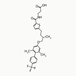 Cc1cc(OCC(C)CCc2ccc(C(=O)NCCC(=O)O)s2)cc(C)c1-c1ccc(C(F)(F)F)cc1